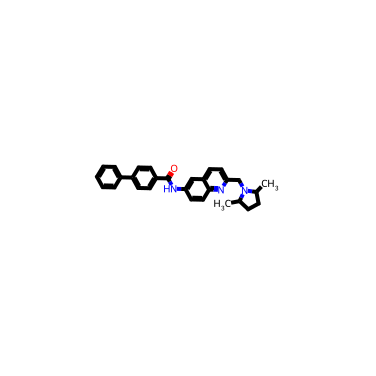 CC1CCC(C)N1Cc1ccc2cc(NC(=O)c3ccc(-c4ccccc4)cc3)ccc2n1